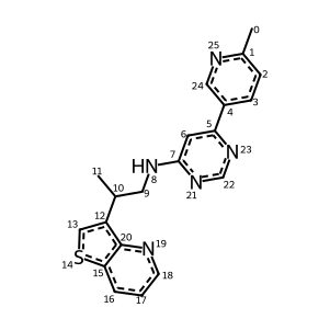 Cc1ccc(-c2cc(NCC(C)c3csc4cccnc34)ncn2)cn1